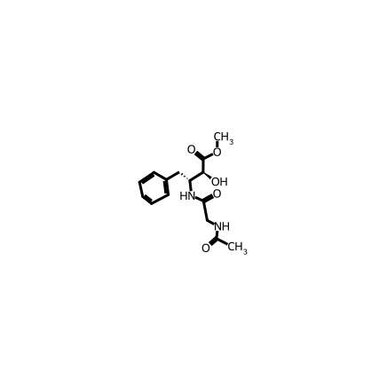 COC(=O)[C@@H](O)[C@@H](Cc1ccccc1)NC(=O)CNC(C)=O